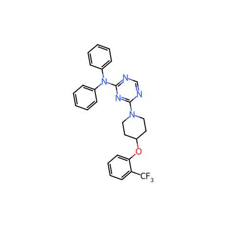 FC(F)(F)c1ccccc1OC1CCN(c2ncnc(N(c3ccccc3)c3ccccc3)n2)CC1